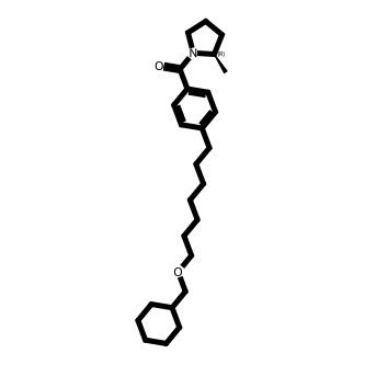 C[C@@H]1CCCN1C(=O)c1ccc(CCCCCCCOCC2CCCCC2)cc1